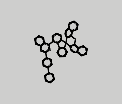 c1ccc(-c2ccc(-c3nc(-c4cccc5c4-c4ccccc4C54c5ccc6ccccc6c5Sc5c4ccc4ccccc54)c4ccccc4n3)cc2)cc1